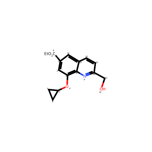 CCOC(=O)c1cc(OC2CC2)c2nc(CO)ccc2c1